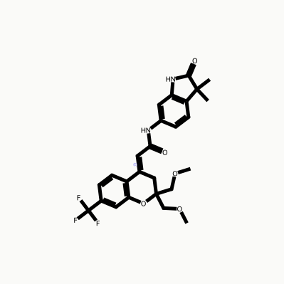 COCC1(COC)C/C(=C\C(=O)Nc2ccc3c(c2)NC(=O)C3(C)C)c2ccc(C(F)(F)F)cc2O1